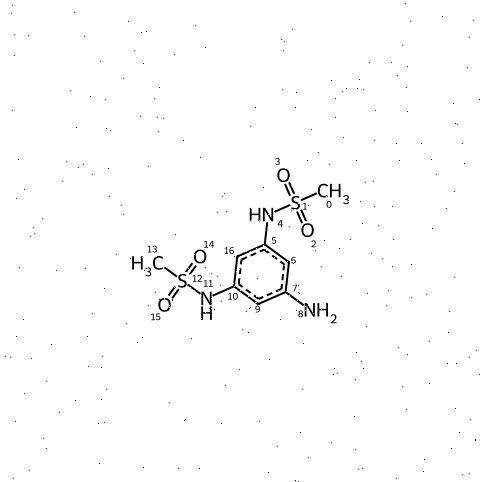 CS(=O)(=O)Nc1cc(N)cc(NS(C)(=O)=O)c1